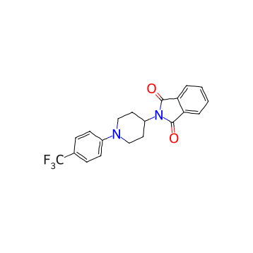 O=C1c2ccccc2C(=O)N1C1CCN(c2ccc(C(F)(F)F)cc2)CC1